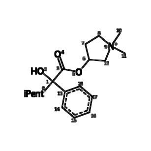 CCCC(C)C(O)(C(=O)OC1CC[N+](C)(C)C1)c1ccccc1